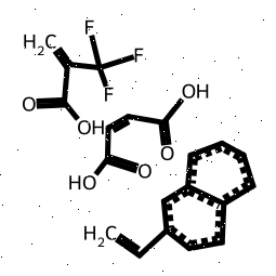 C=C(C(=O)O)C(F)(F)F.C=Cc1ccc2ccccc2c1.O=C(O)/C=C\C(=O)O